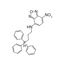 O=[N+]([O-])c1ccc(NCCC[PH](c2ccccc2)(c2ccccc2)c2ccccc2)c2nonc12